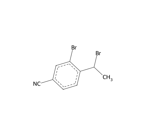 CC(Br)c1ccc(C#N)cc1Br